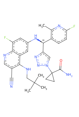 Cc1nc(F)ccc1[C@H](Nc1cc(F)c2ncc(C#N)c(NCC(C)(C)C)c2c1)c1cn(C2(C(N)=O)CC2)nn1